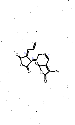 C=C/C=C1/C(=O)OC(=O)/C1=C/C/C=C\C1=C(C(C)C)C(=O)OC1=O